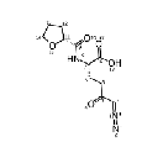 [N-]=[N+]=CC(=O)CC[C@H](NC(=O)[C@H]1CCCO1)C(=O)O